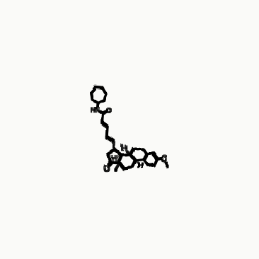 COc1ccc2c(c1)CC[C@H]1[C@@H]3[C@H](CCCCC(=O)NC4CCCCCC4)CC(=O)[C@@]3(C)CC[C@H]21